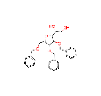 OC[C@@H](O)[C@H]1O[C@H](COCc2ccccc2)[C@@H](OCc2ccccc2)[C@@H]1OCc1ccccc1